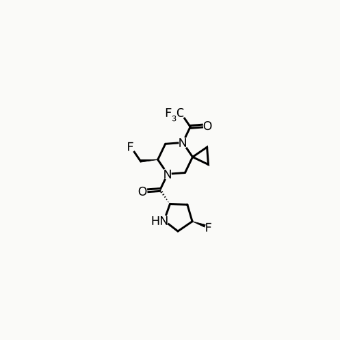 O=C([C@@H]1C[C@@H](F)CN1)N1CC2(CC2)N(C(=O)C(F)(F)F)C[C@@H]1CF